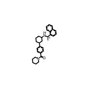 C[C@@H](NC1CCCC(c2ccc(C(=O)N3CCCCC3)cc2)C1)c1cccc2ccccc12